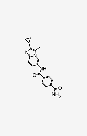 Cc1c(C2CC2)nc2ccc(NC(=O)c3ccc(C(N)=O)cc3)cn12